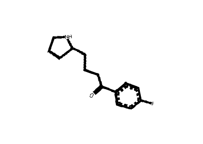 O=C(CCCC1CCCN1)c1ccc(F)cc1